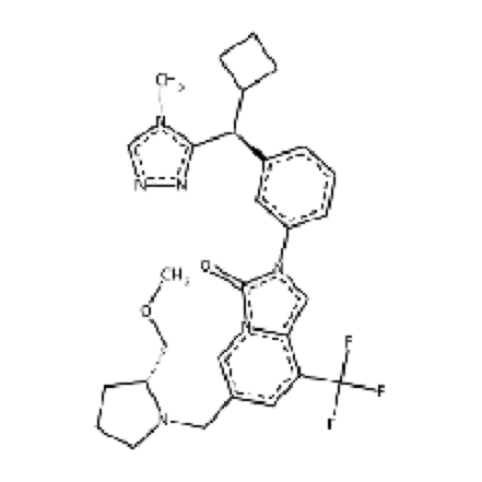 COC[C@H]1CCCN1Cc1cc(C(F)(F)F)c2cn(-c3cccc([C@@H](c4nncn4C)C4CCC4)c3)c(=O)n2c1